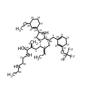 C=C(CC/C(=C\C)CN(CC1=CCCC(OC(F)(F)F)=C1)[C@@H]1NC(C2=CC(OC)CCC2)CS1)C(O)NCCNCC